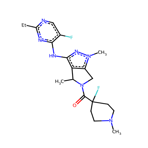 CCc1ncc(F)c(Nc2nn(C)c3c2C(C)N(C(=O)C2(F)CCN(C)CC2)C3)n1